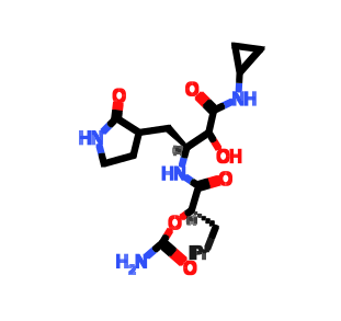 CC(C)C[C@H](OC(N)=O)C(=O)N[C@@H](CC1CCNC1=O)C(O)C(=O)NC1CC1